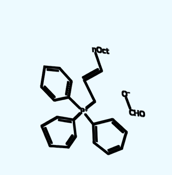 CCCCCCCCC=CC[P+](c1ccccc1)(c1ccccc1)c1ccccc1.O=C[O-]